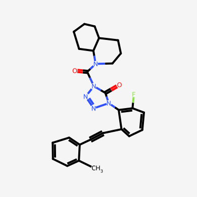 Cc1ccccc1C#Cc1cccc(F)c1-n1nnn(C(=O)N2CCCC3CCCCC32)c1=O